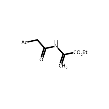 C=C(NC(=O)CC(C)=O)C(=O)OCC